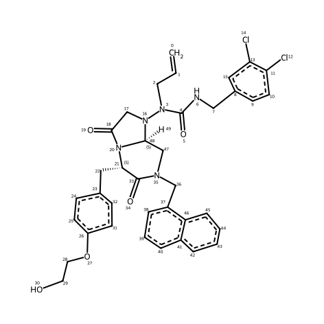 C=CCN(C(=O)NCc1ccc(Cl)c(Cl)c1)N1CC(=O)N2[C@@H](Cc3ccc(OCCO)cc3)C(=O)N(Cc3cccc4ccccc34)C[C@@H]21